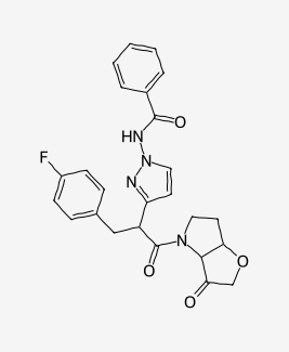 O=C(Nn1ccc(C(Cc2ccc(F)cc2)C(=O)N2CCC3OCC(=O)C32)n1)c1ccccc1